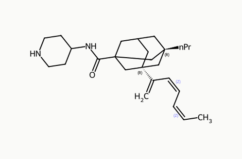 C=C(/C=C\C=C/C)[C@]12CC3CC(C(=O)NC4CCNCC4)(C[C@](CCC)(C3)C1)C2